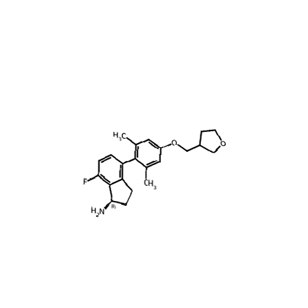 Cc1cc(OCC2CCOC2)cc(C)c1-c1ccc(F)c2c1CC[C@H]2N